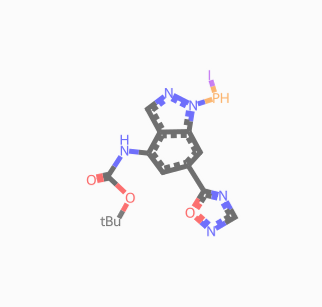 CC(C)(C)OC(=O)Nc1cc(-c2ncno2)cc2c1cnn2PI